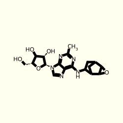 Cc1nc(NC2CC3CC2C2OC32)c2ncn([C@@H]3O[C@H](CO)C(O)[C@@H]3O)c2n1